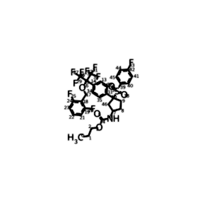 CCCOC(=O)NC1CCC(c2ccc(C(OCc3c(F)cccc3F)(C(F)(F)F)C(F)(F)F)cc2)(S(=O)(=O)c2ccc(F)cc2)C1